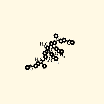 CCC(c1ccc2c(c1)C(C)(C)c1ccccc1-2)c1c(-c2cc3c(cc2C)c2ccc4cc(CC(C)C(c5ccccc5)c5ccc6cc(-c7cc8ccccc8o7)ccc6c5)ccc4c2n3-c2ccc3c(c2)C(C)(C)c2ccccc2-3)ccc2cc(N(c3ccccc3)c3ccc4cc(-c5cc6ccccc6o5)ccc4c3)ccc12